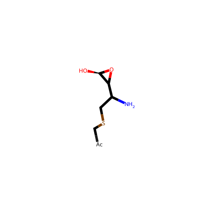 CC(=O)CSCC(N)C1O[C@@H]1O